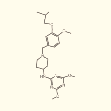 COc1nc(NC2CCN(Cc3ccc(OC)c(OCC(C)C)c3)CC2)nc(OC)n1